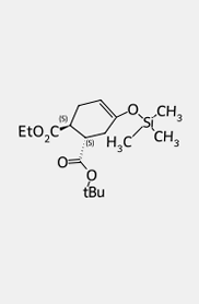 CCOC(=O)[C@H]1CC=C(O[Si](C)(C)C)C[C@@H]1C(=O)OC(C)(C)C